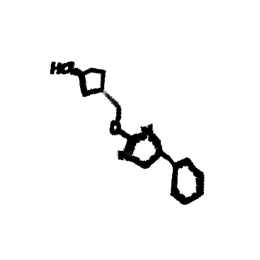 O[C@H]1C[C@H](COc2ncc(-c3ccccc3)cn2)C1